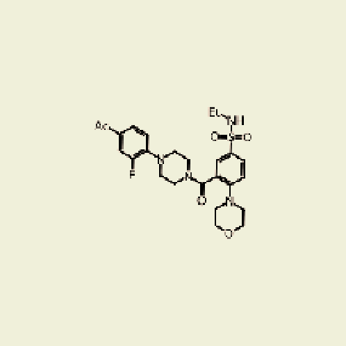 CCNS(=O)(=O)c1ccc(N2CCOCC2)c(C(=O)N2CCN(c3ccc(C(C)=O)cc3F)CC2)c1